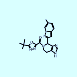 Cc1ccc2cc(C3c4nc[nH]c4CCN3C(=O)c3nnc(C(C)(C)C)o3)nn2c1